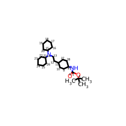 CC(C)(C)OC(=O)NC1CCC(CCN(C2CCCCC2)C2CCCCC2)CC1